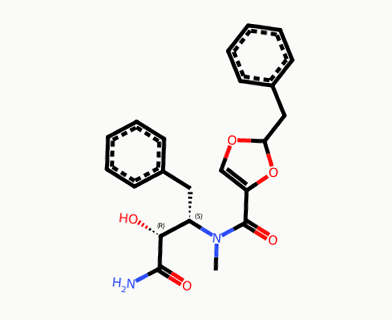 CN(C(=O)C1=COC(Cc2ccccc2)O1)[C@@H](Cc1ccccc1)[C@@H](O)C(N)=O